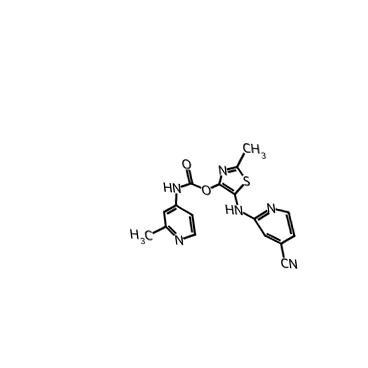 Cc1cc(NC(=O)Oc2nc(C)sc2Nc2cc(C#N)ccn2)ccn1